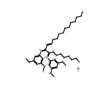 CCCCCCCCCCCC=CC(=Nc1cc(CC)cc(CC)c1)C(CCCCCCCC)=Nc1cc(CC)cc(CC)c1.[Ni]